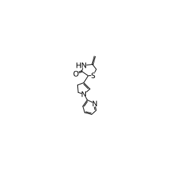 C=C1CSC(C2=CN(c3ccccn3)CC2)C(=O)N1